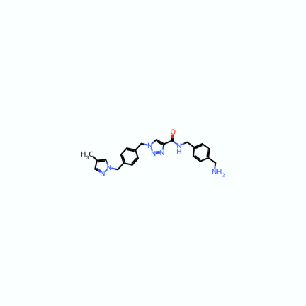 Cc1cnn(Cc2ccc(Cn3cc(C(=O)NCc4ccc(CN)cc4)nn3)cc2)c1